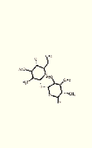 CCC1O[C@H](O[C@H]2OC(COC(C)=O)[C@@H](O)C(OC(C)=O)C2C)C(OC(C)=O)[C@@H](OC(C)=O)[C@@H]1C